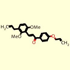 C=CCOc1ccc(C(=O)C=Cc2c(OC)ccc(CC=C)c2OC)cc1